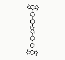 c1cc2c(-c3ccc(-c4ccc(-c5cc6sc(-c7ccc(-c8ccc(-c9c%10ccsc%10cc%10ccsc9%10)cc8)cc7)cc6s5)cc4)cc3)c3sccc3cc2s1